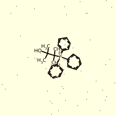 CC(C)(O)C(C)(C)[PH](c1ccccc1)(c1ccccc1)c1ccccc1